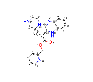 N#C/C(C(=O)OCc1ccccn1)=C1/Nc2ccccc2N=C1N1CCNCC1